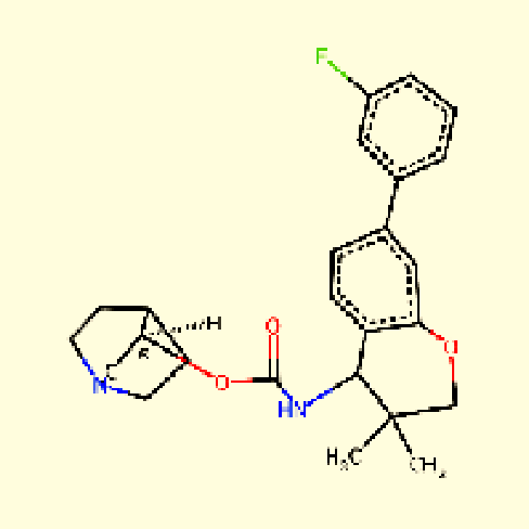 CC1(C)COc2cc(-c3cccc(F)c3)ccc2C1NC(=O)O[C@H]1CN2CCC1CC2